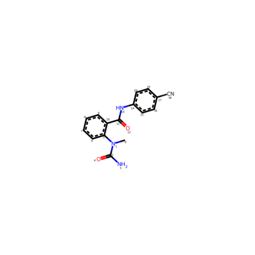 CN(C(N)=O)c1ccccc1C(=O)Nc1ccc(C#N)cc1